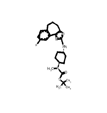 CN(C(=O)OC(C)(C)C)[C@H]1CC[C@H](Nc2nc3c(s2)CCCc2ccc(F)cc2-3)CC1